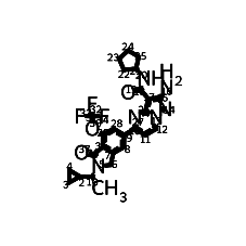 CC(C1CC1)N1Cc2cc(-c3ccn4nc(N)c(C(=O)NC5CCCC5)c4n3)cc(OC(F)(F)F)c2C1=O